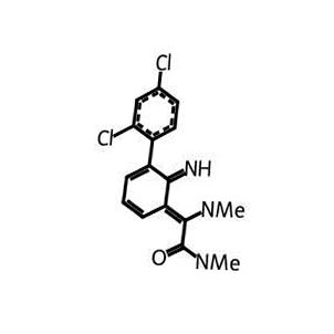 CNC(=O)/C(NC)=C1\C=CC=C(c2ccc(Cl)cc2Cl)C1=N